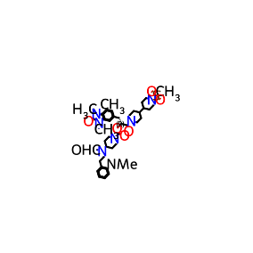 CNc1ccccc1CCN(C=O)C1CCN(C(=O)O[C@H](Cc2cc(C)c3c(c2)n(C)c(=O)n3C)C(=O)N2CCC(C3CCN(S(C)(=O)=O)CC3)CC2)CC1